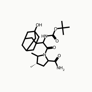 CC1[C@@H](C)CC(C(N)=O)N1C(=O)C(NC(=O)OC(C)(C)C)C12CC3CC(CC(O)(C3)C1)C2